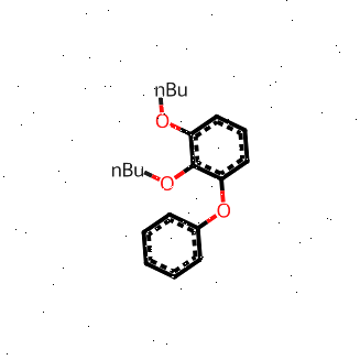 CCCCOc1cccc(Oc2ccccc2)c1OCCCC